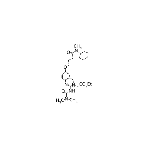 CCOC(=O)CN1Cc2cc(OCCCC(=O)N(C)C3CCCCC3)ccc2N=C1NC(=O)N(C)C